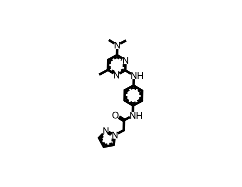 Cc1cc(N(C)C)nc(Nc2ccc(NC(=O)Cn3cccn3)cc2)n1